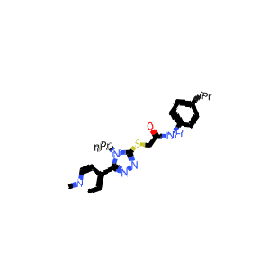 C=N/C=C\C(=C/C)c1nnc(SCC(=O)Nc2ccc(C(C)C)cc2)n1CCC